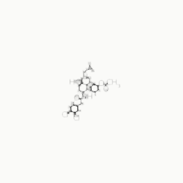 CC(=O)Oc1cccc([C@@]23CCN(CC4CC4)C[C@@]2(O)CC[C@@H](NC(=O)Cc2ccc(Cl)c(Cl)c2)C3)c1